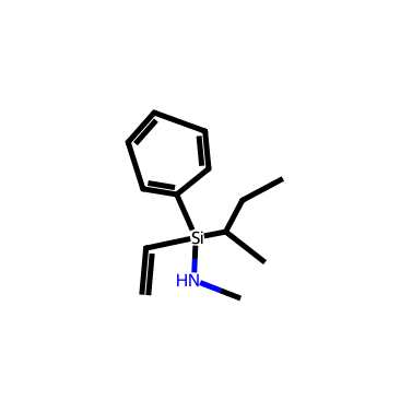 C=C[Si](NC)(c1ccccc1)C(C)CC